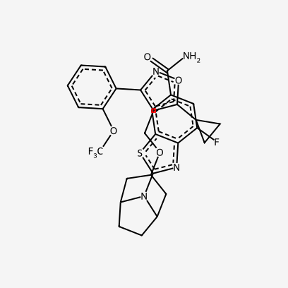 NC(=O)c1cc(F)c2nc(N3C4CCC3CC(OCc3c(-c5ccccc5OC(F)(F)F)noc3C3CC3)C4)sc2c1